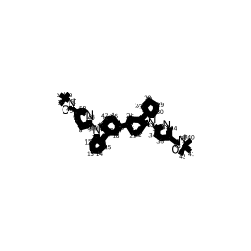 CC1(C)COC(c2ccc(-n3c4ccccc4c4cc(-c5ccc6c(c5)c5ccccc5n6-c5ccc(C6=NC(C)(C)CO6)cn5)ccc43)nc2)=N1